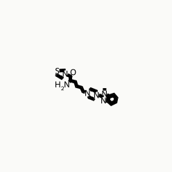 Cn1c(N2CCN(CCCCC(N)C(=O)N3CCSC3)CC2)nc2ccccc21